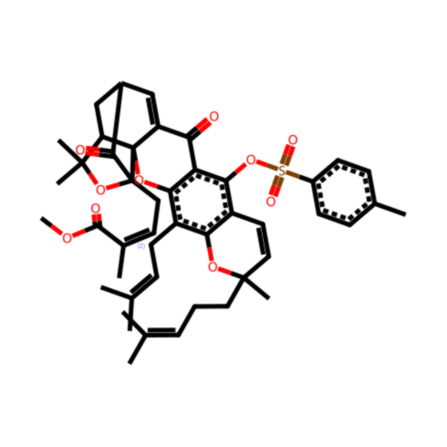 COC(=O)/C(C)=C\CC12OC(C)(C)C3CC(C=C4C(=O)c5c(OS(=O)(=O)c6ccc(C)cc6)c6c(c(CC=C(C)C)c5OC431)OC(C)(CCC=C(C)C)C=C6)C2=O